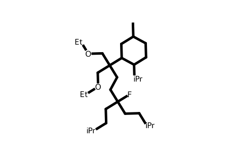 CCOCC(CCC(F)(CCC(C)C)CCC(C)C)(COCC)C1CC(C)CCC1C(C)C